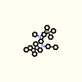 c1ccc(-c2ccc(N(c3ccc4c(c3)c3cc5c(cc3n4-c3ccccc3)-c3ccccc3[Si]5(c3ccccc3)c3ccccc3)c3cccc4c3-c3ccccc3C43c4ccccc4-c4c3ccc3ccccc43)cc2)cc1